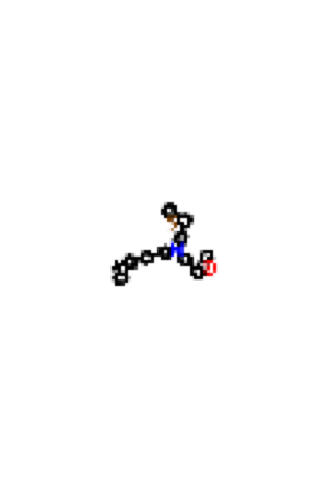 CC1(C)c2ccccc2-c2cc(-c3ccc(-c4ccc(N(c5ccc(-c6cccc7c6sc6ccccc67)cc5)c5ccc(-c6cccc7oc8ccccc8c67)cc5)cc4)cc3)ccc21